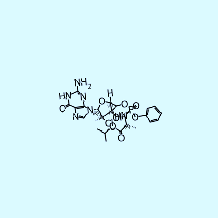 CC(C)OC(=O)[C@@H](C)NP(=O)(Oc1ccccc1)OC1[C@H]2O[C@@H](n3cnc4c(=O)[nH]c(N)nc43)[C@](C)(Cl)[C@@]12O